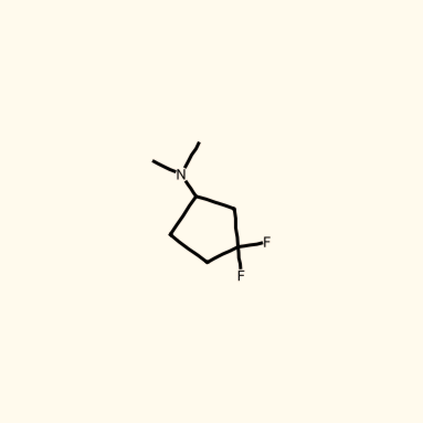 CN(C)C1CCC(F)(F)C1